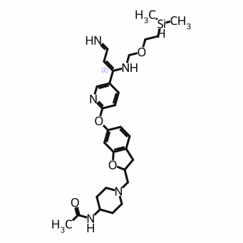 CC(=O)NC1CCN(CC2Cc3ccc(Oc4ccc(/C(=C/C=N)NCOCC[SiH](C)C)cn4)cc3O2)CC1